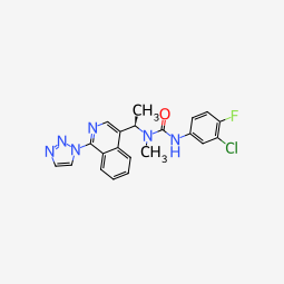 C[C@H](c1cnc(-n2ccnn2)c2ccccc12)N(C)C(=O)Nc1ccc(F)c(Cl)c1